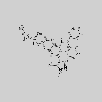 CC(C)c1c(-c2cc(N=C(c3ccccc3)c3ccccc3)c3cnc(NC(=O)[C@@H]4CC4C#N)cc3c2)cnn1C